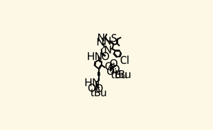 Cc1sc2c(c1C)C(c1ccc(Cl)cc1)=N[C@@H](CC(=O)Nc1ccc(C#CCNC(=O)OC(C)(C)C)c(COP(=O)(OC(C)(C)C)OC(C)(C)C)c1)c1nnc(C)n1-2